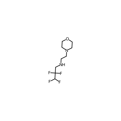 FC(F)C(F)(F)CNCCN1CCOCC1